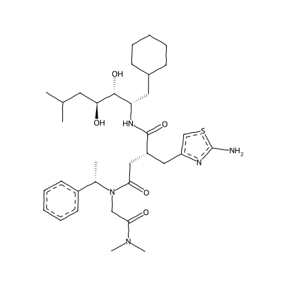 CC(C)C[C@H](O)[C@H](O)[C@H](CC1CCCCC1)NC(=O)[C@@H](CC(=O)N(CC(=O)N(C)C)[C@@H](C)c1ccccc1)Cc1csc(N)n1